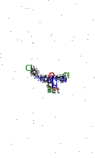 CCOc1cc2c(cc1Br)c1c(n2C(=O)NCc2ccnc(Cl)c2)CCN(C/C=C/c2ccc(Cl)cc2)C1